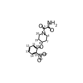 NC(=O)C(=O)N1CCC(Oc2ccccc2[N+](=O)[O-])CC1